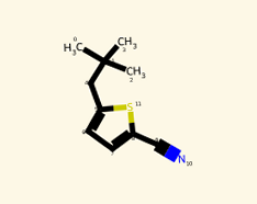 CC(C)(C)Cc1ccc(C#N)s1